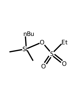 CCCC[Si](C)(C)OS(=O)(=O)CC